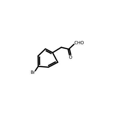 O=CC(=O)Cc1ccc(Br)cc1